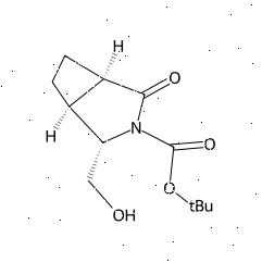 CC(C)(C)OC(=O)N1C(=O)[C@@H]2CC[C@@H]2[C@H]1CO